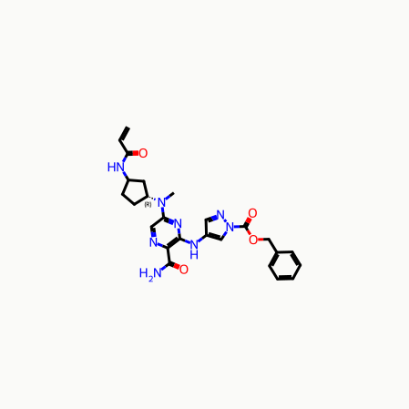 C=CC(=O)NC1CC[C@@H](N(C)c2cnc(C(N)=O)c(Nc3cnn(C(=O)OCc4ccccc4)c3)n2)C1